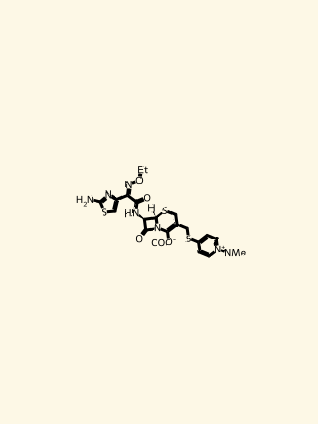 CCO/N=C(\C(=O)N[C@@H]1C(=O)N2C(C(=O)[O-])=C(CSc3cc[n+](NC)cc3)CS[C@H]12)c1csc(N)n1